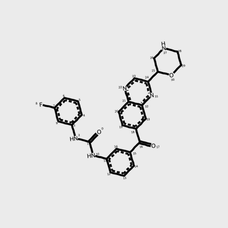 O=C(Nc1cccc(F)c1)Nc1cccc(C(=O)c2ccc3ncc(C4CNCCO4)nc3c2)c1